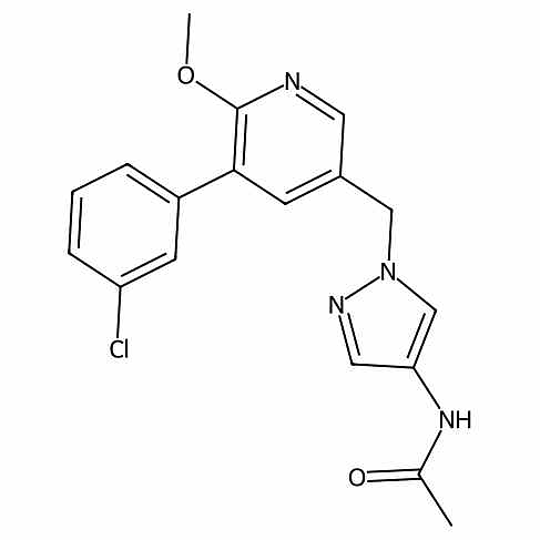 COc1ncc(Cn2cc(NC(C)=O)cn2)cc1-c1cccc(Cl)c1